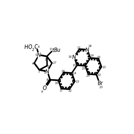 CC(C)(C)C12CC(CN1C(=O)O)N(C(=O)c1cccc(-c3ncnc4ccc(Br)cc34)c1)C2